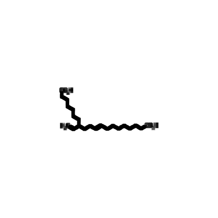 C=CC(CCC=CCCCCCCCC(=O)O)CCCCCCC(=O)O